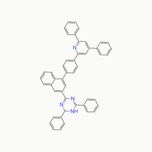 c1ccc(C2=NC(c3cc(-c4ccc(-c5cc(-c6ccccc6)cc(-c6ccccc6)n5)cc4)c4ccccc4c3)=NC(c3ccccc3)N2)cc1